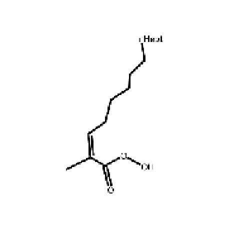 CCCCCCCCCCCCC=C(C)C(=O)OO